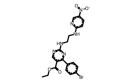 CCOC(=O)c1cnc(NCCNc2ccc([N+](=O)[O-])cn2)nc1-c1ccc(Br)cc1